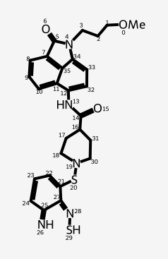 COCCCN1C(=O)c2cccc3c(NC(=O)C4CCN(SC5=CC=CC(=N)/C5=N\S)CC4)ccc1c23